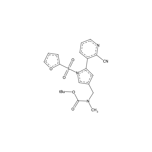 CN(Cc1cc(-c2cccnc2C#N)n(S(=O)(=O)c2ccco2)c1)C(=O)OC(C)(C)C